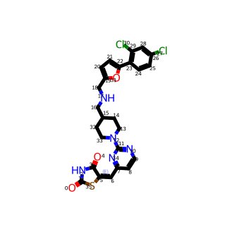 O=C1NC(=O)/C(=C\c2ccnc(N3CCC(CNCc4ccc(-c5ccc(Cl)cc5Cl)o4)CC3)n2)S1